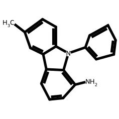 Cc1ccc2c(c1)c1cccc(N)c1n2-c1ccccc1